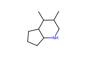 CC1CNC2CCCC2C1C